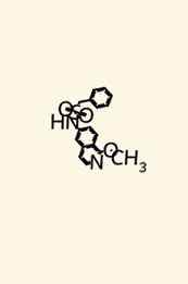 COc1nccc2cc(NS(=O)(=O)Cc3ccccc3)ccc12